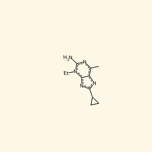 CCn1c(N)nc(C)c2nc(C3CC3)nc1-2